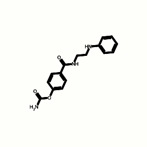 NC(=O)Oc1ccc(C(=O)NCCNc2ccccc2)cc1